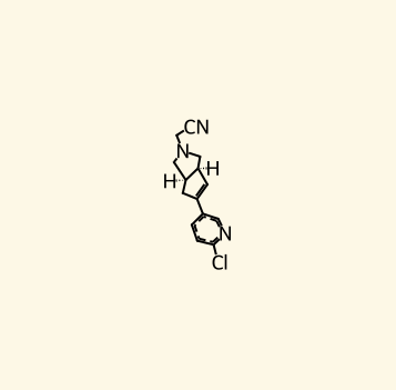 N#CCN1C[C@@H]2CC(c3ccc(Cl)nc3)=C[C@@H]2C1